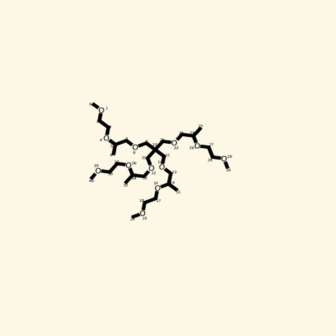 COCCOC(C)COCC(COCC(C)OCCOC)(COCC(C)OCCOC)COCC(C)OCCOC